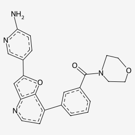 Nc1ccc(-c2cc3nccc(-c4cccc(C(=O)N5CCOCC5)c4)c3o2)cn1